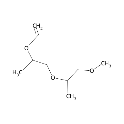 C=COC(C)COC(C)COC